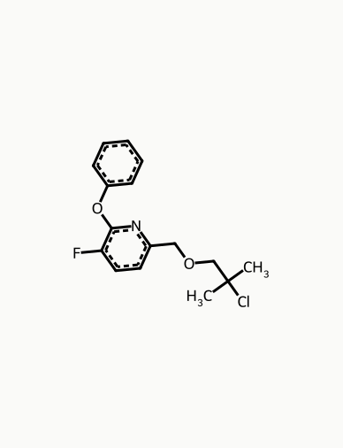 CC(C)(Cl)COCc1ccc(F)c(Oc2ccccc2)n1